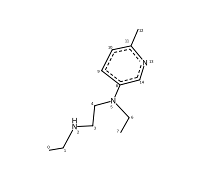 CCNCCN(CC)c1ccc(C)nc1